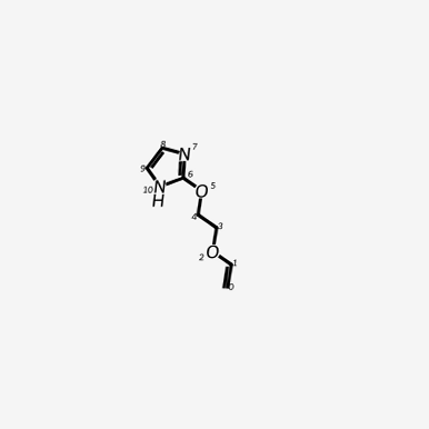 C=COCCOc1ncc[nH]1